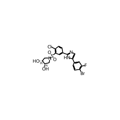 O=S(=O)(c1cc(-c2ncc(-c3ccc(Br)c(F)c3)[nH]2)ccc1Cl)N1C[C@@H](O)[C@H](O)C1